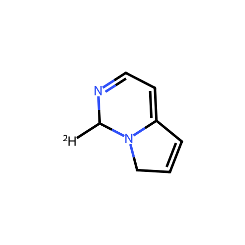 [2H]C1N=CC=C2C=CCN21